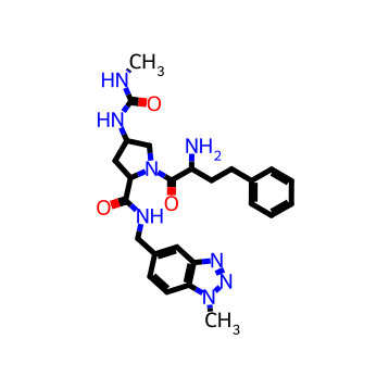 CNC(=O)NC1CC(C(=O)NCc2ccc3c(c2)nnn3C)N(C(=O)C(N)CCc2ccccc2)C1